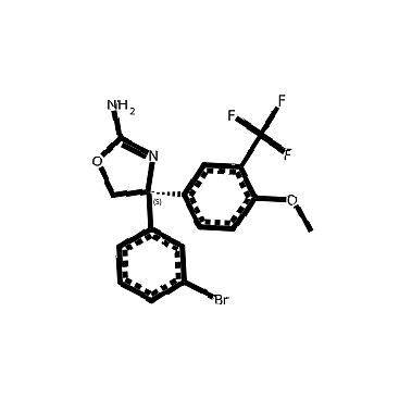 COc1ccc([C@]2(c3cccc(Br)c3)COC(N)=N2)cc1C(F)(F)F